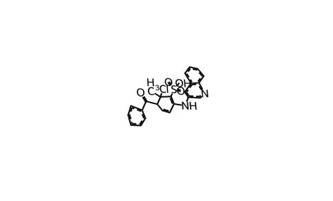 CC1(Cl)C(S(=O)(=O)O)=C(Nc2cnc3ccccc3c2)C=CC1C(=O)c1ccccc1